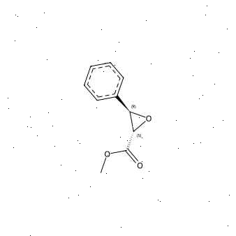 COC(=O)[C@H]1O[C@@H]1c1ccccc1